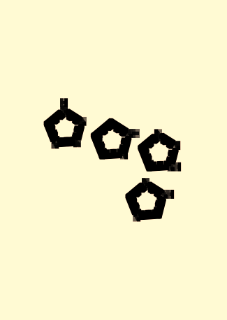 c1c[nH]nn1.c1cn[nH]c1.c1nc[nH]n1.c1nnn[nH]1